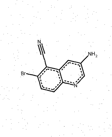 N#Cc1c(Br)ccc2ncc(N)cc12